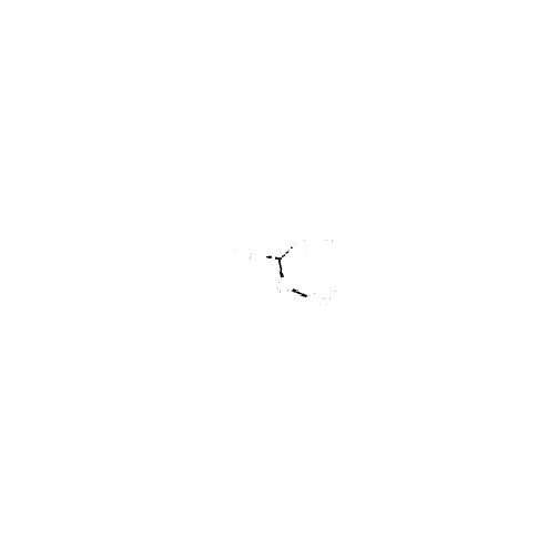 O=COC(C=O)C(=O)O